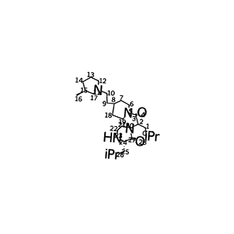 CC(C)CC(C(=O)N1CCC(CCN2CCC[C@H](C)C2)CC1)N1CCN[C@@H](CC(C)C)C1=O